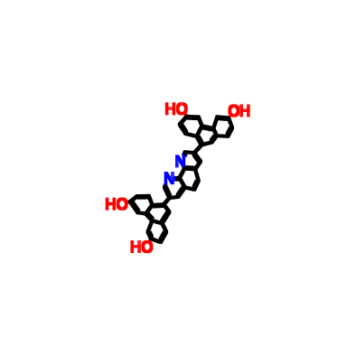 Oc1ccc2cc(-c3cnc4c(ccc5cc(-c6cc7ccc(O)cc7c7cc(O)ccc67)cnc54)c3)c3ccc(O)cc3c2c1